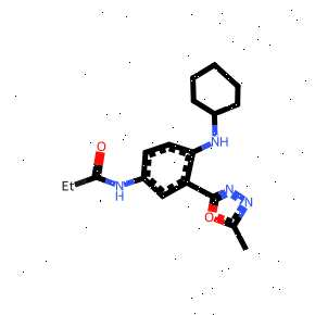 CCC(=O)Nc1ccc(NC2CCCCC2)c(-c2nnc(C)o2)c1